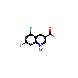 O=C([O-])c1cnc2cc(F)cc(F)c2c1.[Li+]